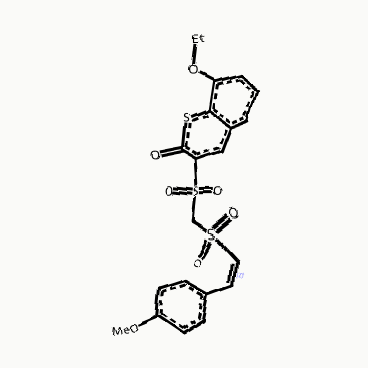 CCOc1cccc2cc(S(=O)(=O)CS(=O)(=O)/C=C\c3ccc(OC)cc3)c(=O)sc12